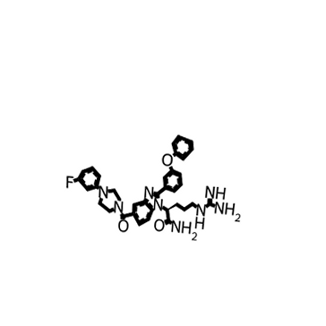 N=C(N)NCCC[C@@H](C(N)=O)n1c(-c2cccc(Oc3ccccc3)c2)nc2cc(C(=O)N3CCN(c4cccc(F)c4)CC3)ccc21